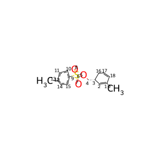 CC1=C[C@H](COS(=O)(=O)c2ccc(C)cc2)CC=C1